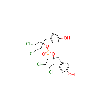 O=[PH](OC(CCCl)(CCCl)Cc1ccc(O)cc1)OC(CCCl)(CCCl)Cc1ccc(O)cc1